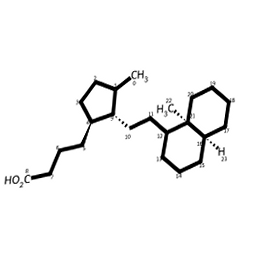 CC1CC[C@H](CCCC(=O)O)[C@H]1CCC1CCC[C@@H]2CCCC[C@]12C